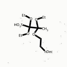 CCCCCCCCCCCCOC(C)(OCC)C(OCC)(OCC)S(=O)(=O)O